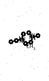 Cc1ccc(-c2nc(-c3ccccc3)nc(-c3ccc(-c4ccccc4)cc3)n2)cc1-c1cccc(-c2nc(-c3ccccc3)nc(-c3ccccc3)n2)c1